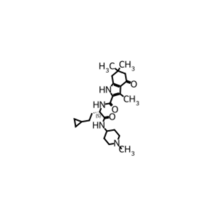 Cc1c(C(=O)N[C@@H](CCC2CC2)C(=O)NC2CCN(C)CC2)[nH]c2c1C(=O)CC(C)(C)C2